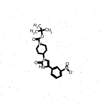 CC(C)(C)OC(=O)N1CCC(n2cc(-c3cccc([N+](=O)[O-])c3)[nH]c2=O)CC1